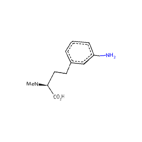 CN[C@@H](CCc1cccc(N)c1)C(=O)O